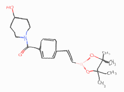 CC1(C)OB(C=Cc2ccc(C(=O)N3CCC(O)CC3)cc2)OC1(C)C